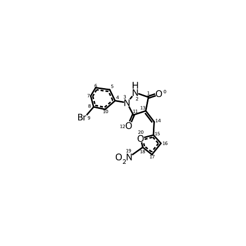 O=C1NN(c2cccc(Br)c2)C(=O)/C1=C\c1ccc([N+](=O)[O-])o1